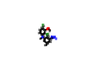 COc1cc(N(C)c2cc(C)cc(N)c2Cl)ccc1F